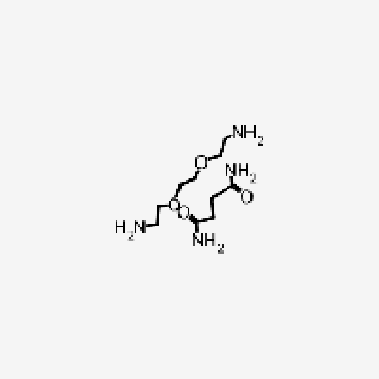 NC(=O)CCC(N)=O.NCCOCCOCCN